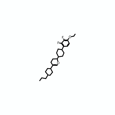 CCCC1CCC(C2=COC(C3CCC(c4ccc(OCC)c(F)c4F)CC3)CC2)CC1